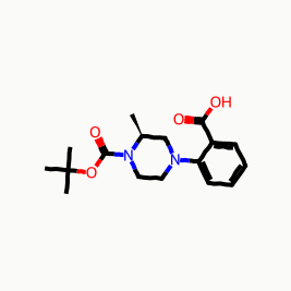 C[C@H]1CN(c2ccccc2C(=O)O)CCN1C(=O)OC(C)(C)C